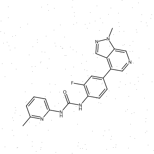 Cc1cccc(NC(=O)Nc2ccc(-c3cncc4c3cnn4C)cc2F)n1